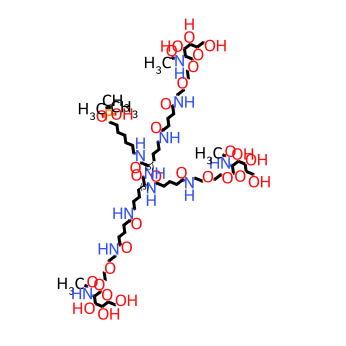 CC(=O)NC1C(OCCOCCNC(=O)CCCC(=O)NCCCC[C@H](NC(=O)CCCC(=O)NCCOCCOC2OC(CO)C(O)C(O)C2NC(C)=O)C(=O)N[C@@H](CCCCNC(=O)CCCC(=O)NCCOCCOC2OC(CO)C(O)C(O)C2NC(C)=O)C(=O)NCCCCCCCP(=O)(O)C(C)(C)C)OC(CO)C(O)C1O